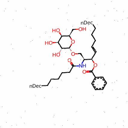 CCCCCCCCCCCCC/C=C/[C@@H](OC(=O)c1ccccc1)[C@H](CO[C@H]1O[C@H](CO)[C@H](O)[C@H](O)[C@H]1O)NC(=O)CCCCCCCCCCCCCCC